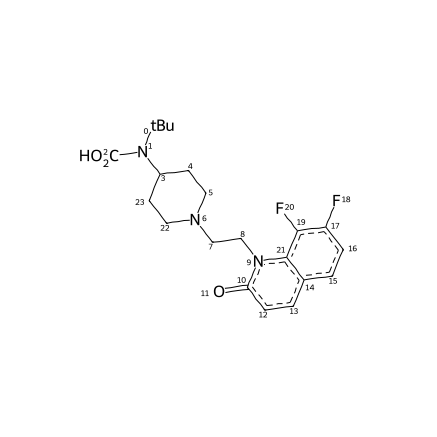 CC(C)(C)N(C(=O)O)C1CCN(CCn2c(=O)ccc3ccc(F)c(F)c32)CC1